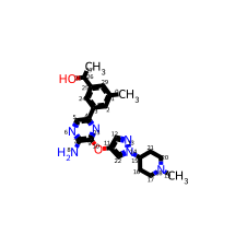 Cc1cc(-c2cnc(N)c(Oc3cnn(C4CCN(C)CC4)c3)n2)cc(C(C)O)c1